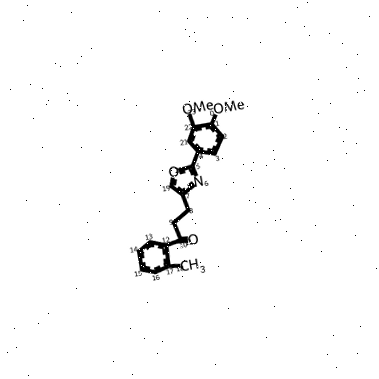 COc1ccc(-c2nc(CCC(=O)c3ccccc3C)co2)cc1OC